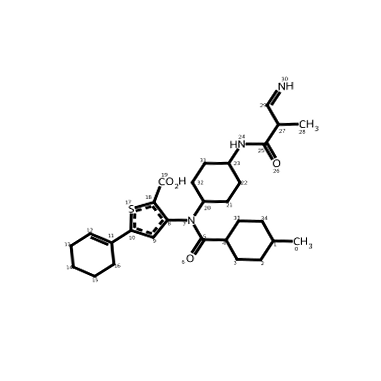 CC1CCC(C(=O)N(c2cc(C3=CCCCC3)sc2C(=O)O)C2CCC(NC(=O)C(C)C=N)CC2)CC1